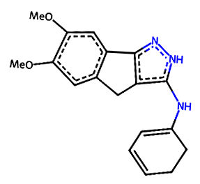 COc1cc2c(cc1OC)-c1n[nH]c(NC3=CC=CCC3)c1C2